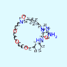 CN1CCOCCOCCOCc2cccc(c2)NC(=O)c2nc(cnc2N)-c2ccc(cc2)C1=O